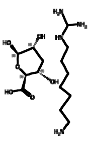 NCCCCCCCNC(N)N.O=C(O)[C@H]1O[C@@H](O)[C@H](O)C[C@@H]1O